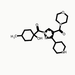 CC1CCC(O)(C(=O)n2cc(C(=O)N3CCOCC3)c(C3CCNCC3)n2)CC1